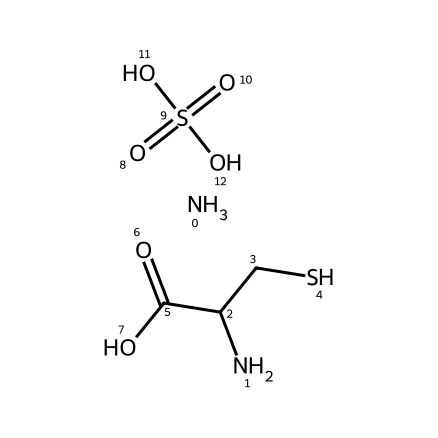 N.NC(CS)C(=O)O.O=S(=O)(O)O